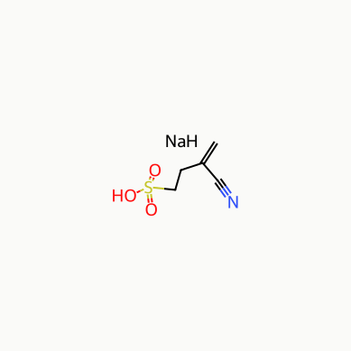 C=C(C#N)CCS(=O)(=O)O.[NaH]